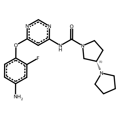 Nc1ccc(Oc2cc(NC(=O)N3CC[C@H](N4CCCC4)C3)ncn2)c(F)c1